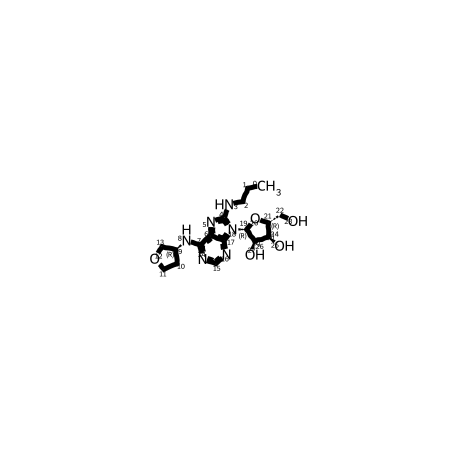 CCCNc1nc2c(N[C@@H]3CCOC3)ncnc2n1[C@@H]1O[C@H](CO)[C@@H](O)[C@H]1O